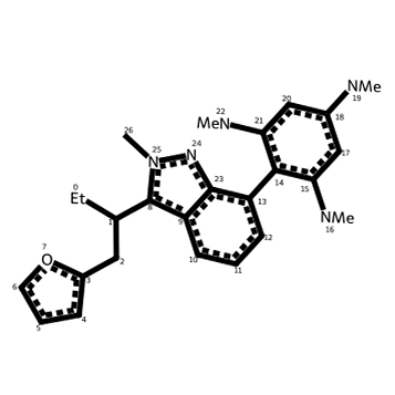 [CH2]CC(Cc1ccco1)c1c2cccc(-c3c(NC)cc(NC)cc3NC)c2nn1C